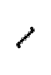 Cn1c2ccccc2c2cc(-c3cc4sc(-c5cc6sc(-c7cc8sc(-c9ccc%10c(c9)c9ccccc9n%10C)cc8s7)cc6s5)cc4s3)ccc21